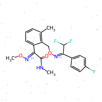 CNC(=O)/C(=N/OC)c1cccc(C)c1CO/N=C(/c1ccc(F)cc1)C(F)F